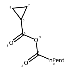 CCCCCC(=O)OC(=O)C1CC1